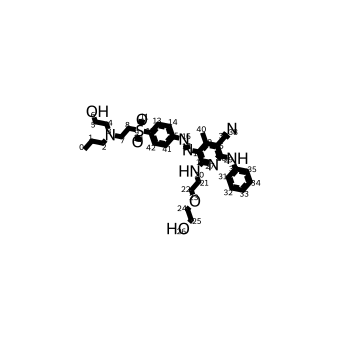 CCCN(CCO)CCS(=O)(=O)c1ccc(/N=N/c2c(NCCOCCO)nc(Nc3ccccc3)c(C#N)c2C)cc1